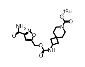 CC(C)(C)OC(=O)N1CCC2(CC1)CC(NC(=O)OCc1cc(C(N)=O)no1)C2